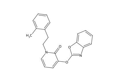 Cc1ccccc1CCn1cccc(Oc2nc3ccccc3o2)c1=O